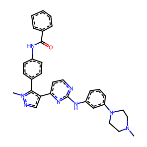 CN1CCN(c2cccc(Nc3nccc(-c4cnn(C)c4-c4ccc(NC(=O)c5ccccc5)cc4)n3)c2)CC1